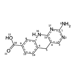 Nc1ncc(Cc2ccc(C(=O)O)cc2)c(N)n1